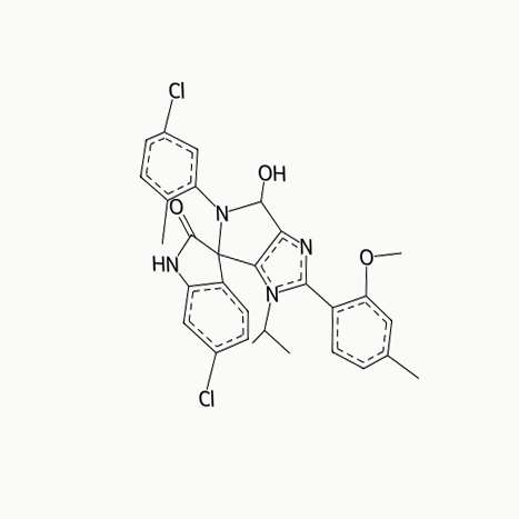 COc1cc(C)ccc1-c1nc2c(n1C(C)C)C1(C(=O)Nc3cc(Cl)ccc31)N(c1cc(Cl)ccc1C)C2O